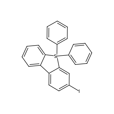 Ic1ccc2c(c1)[Si](c1ccccc1)(c1ccccc1)c1ccccc1-2